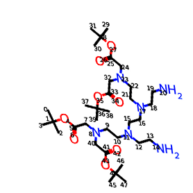 CC(C)(C)OC(=O)CN(CCN(CCN)CCN(CCN)CCN(CC(=O)OC(C)(C)C)CC(=O)OC(C)(C)C)CC(=O)OC(C)(C)C